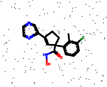 Cc1c(F)cccc1C1(C(=O)NO)C=C(c2cnccn2)CC1